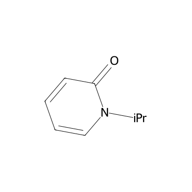 CC(C)n1ccccc1=O